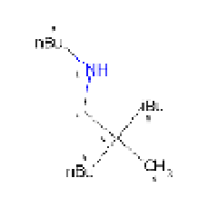 CCCCNCC(C)(CCCC)C(C)CC